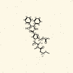 CC[C@H](C)CC(=O)N(C)[C@H](C[C@@H](OC(C)=O)c1nc(C(=O)NC(c2ccccc2)C(O)c2ccccc2)cs1)C(C)C